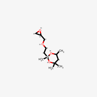 CC1CC(C)(C)O[Si](C)(CCOCC2CO2)O1